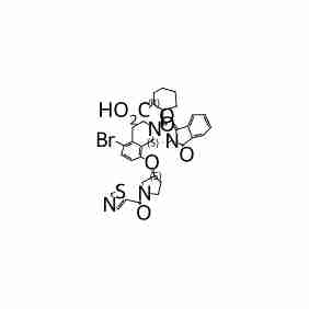 O=C(O)[C@@H]1CCCCC1C(=O)N1CCc2c(Br)ccc(O[C@H]3CCN(C(=O)c4cncs4)C3)c2[C@H]1CN1C(=O)c2ccccc2C1=O